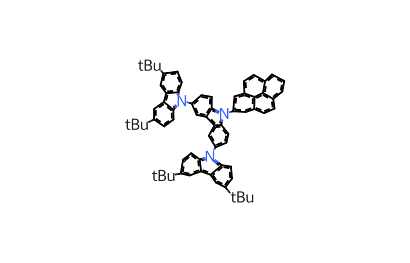 CC(C)(C)c1ccc2c(c1)c1cc(C(C)(C)C)ccc1n2-c1ccc2c(c1)c1cc(-n3c4ccc(C(C)(C)C)cc4c4cc(C(C)(C)C)ccc43)ccc1n2-c1cc2ccc3cccc4ccc(c1)c2c34